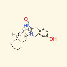 CC(C)[C@@H](CC1CCCCCC1)N1Cc2cc(O)ccc2C[C@@H]1NC=O